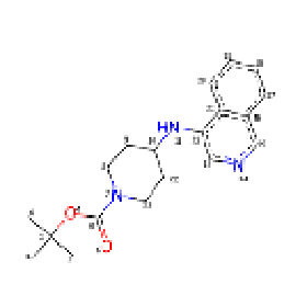 CC(C)(C)OC(=O)N1CCC(Nc2cncc3ccccc23)CC1